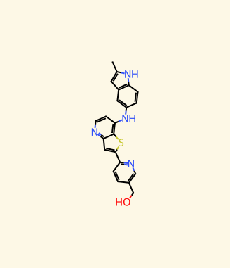 Cc1cc2cc(Nc3ccnc4cc(-c5ccc(CO)cn5)sc34)ccc2[nH]1